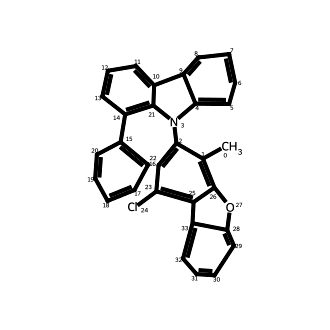 Cc1c(-n2c3ccccc3c3cccc(-c4ccccc4)c32)cc(Cl)c2c1oc1ccccc12